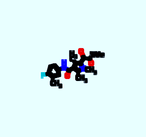 CNC(=O)C(=O)c1c(C)c(C(=O)Nc2ccc(F)c(C)c2)c(C)n1C